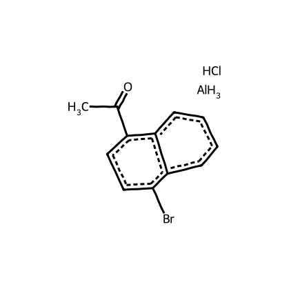 CC(=O)c1ccc(Br)c2ccccc12.Cl.[AlH3]